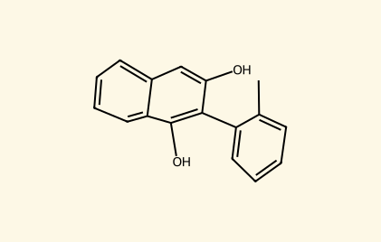 Cc1ccccc1-c1c(O)cc2ccccc2c1O